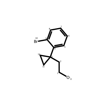 [O]CCC1(c2ccccc2Br)CC1